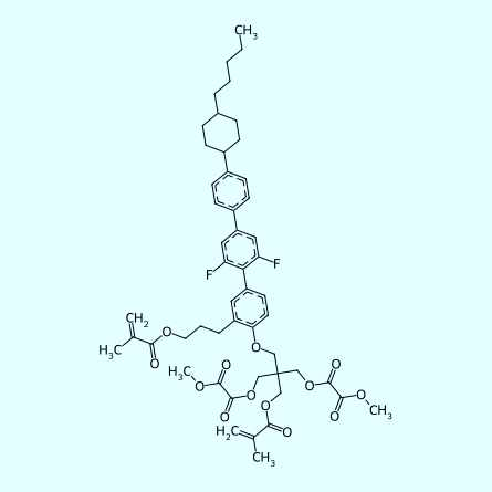 C=C(C)C(=O)OCCCc1cc(-c2c(F)cc(-c3ccc(C4CCC(CCCCC)CC4)cc3)cc2F)ccc1OCC(COC(=O)C(=C)C)(COC(=O)C(=O)OC)COC(=O)C(=O)OC